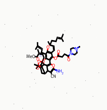 COC(=O)/C(C)=C\CC12OC(C)(C)C3CC(C1=O)C1C(C#N)=C(N)OC4=C1C32Oc1c(CC=C(C)C)c2c(c(OC(=O)CCC(=O)N3CCN(C)CC3)c14)C=CC(C)(CCC=C(C)C)O2